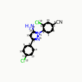 N#Cc1ccc(-n2nc(-c3ccc(Cl)cc3)cc2N)c(Cl)c1